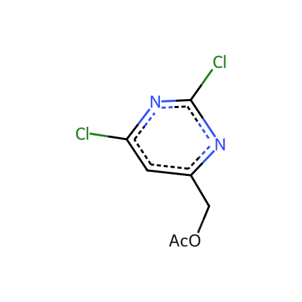 CC(=O)OCc1cc(Cl)nc(Cl)n1